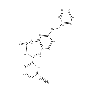 N#Cc1cccc(C2=Nc3ccc(CCc4ccccc4)cc3NC(=O)C2)c1